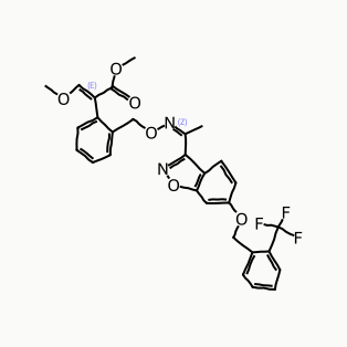 CO/C=C(/C(=O)OC)c1ccccc1CO/N=C(/C)c1noc2cc(OCc3ccccc3C(F)(F)F)ccc12